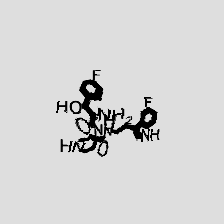 N[C@H](C(=O)NC1(C(=O)NCCc2c[nH]c3ccc(F)cc23)CCNCC1)C(O)c1ccc(F)cc1